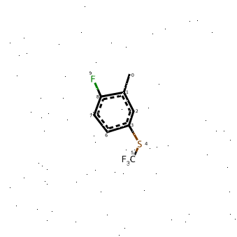 Cc1cc(SC(F)(F)F)ccc1F